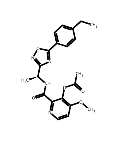 CCc1ccc(-c2nc([C@H](C)NC(=O)c3nccc(OC)c3OC(C)=O)no2)cc1